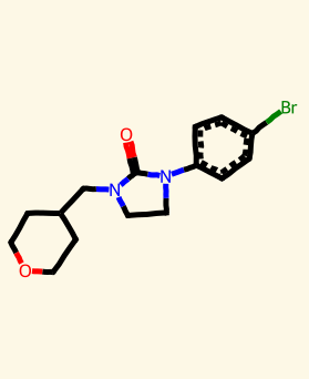 O=C1N(CC2CCOCC2)CCN1c1ccc(Br)cc1